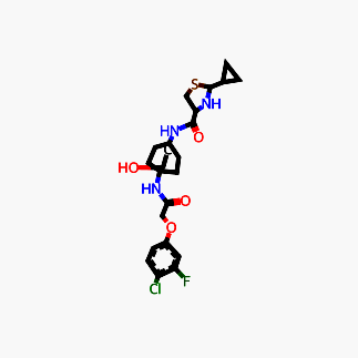 O=C(COc1ccc(Cl)c(F)c1)NC12CCC(NC(=O)C3CSC(C4CC4)N3)(CC1)CC2O